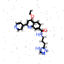 CCOc1cc(-c2ccncc2)nc2cc(C(=O)NCCCc3nnc[nH]3)ccc12